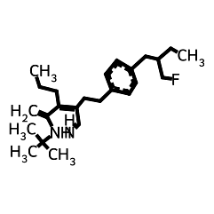 C=C(NC(C)(C)C)/C(CCC)=C(\C=N)CCc1ccc(CC(CC)CF)cc1